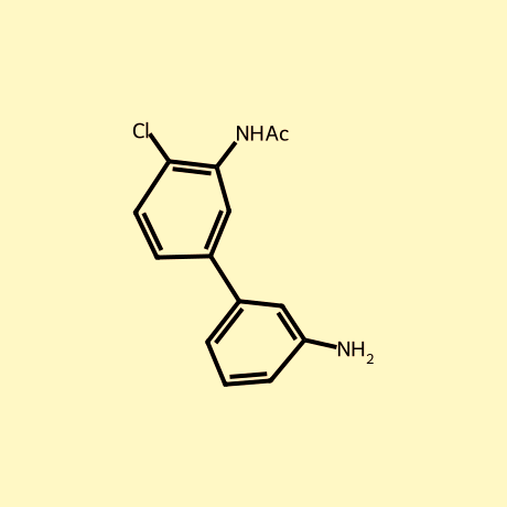 CC(=O)Nc1cc(-c2cccc(N)c2)ccc1Cl